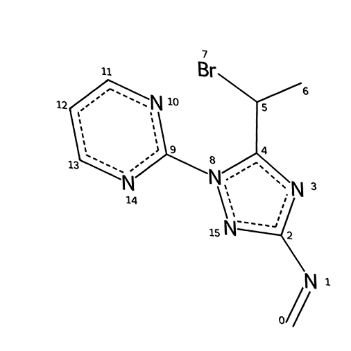 C=Nc1nc(C(C)Br)n(-c2ncccn2)n1